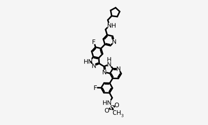 CS(=O)(=O)NCc1cc(F)cc(-c2ccnc3[nH]c(-c4n[nH]c5cc(F)c(-c6cncc(CNCC7CCCC7)c6)cc45)nc23)c1